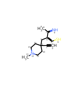 C#CC1(C/C(=C/S)C(C)=N)CCN(C)CC1